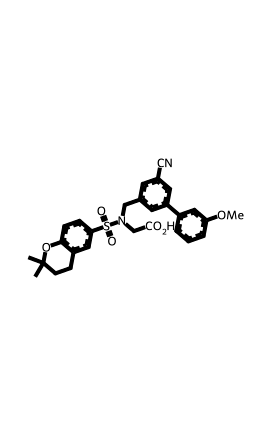 COc1cccc(-c2cc(C#N)cc(CN(CC(=O)O)S(=O)(=O)c3ccc4c(c3)CCC(C)(C)O4)c2)c1